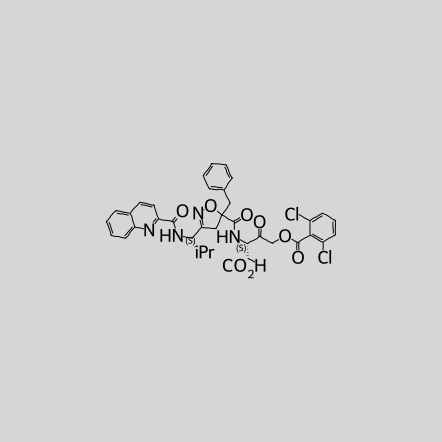 CC(C)[C@H](NC(=O)c1ccc2ccccc2n1)C1=NOC(Cc2ccccc2)(C(=O)N[C@@H](CC(=O)O)C(=O)COC(=O)c2c(Cl)cccc2Cl)C1